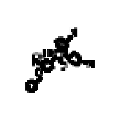 COc1cc(C(Nc2ccc(C#N)cc2)C(=O)Nc2ccc(C#N)cc2)ccc1OCc1ccccc1